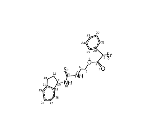 CCC(C(=O)OCCNC(=S)N[C@H]1CCc2ccccc21)c1ccccc1